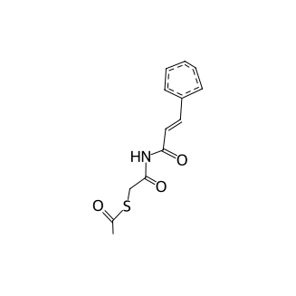 CC(=O)SCC(=O)NC(=O)C=Cc1ccccc1